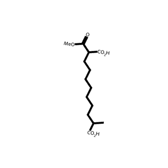 COC(=O)C(CCCCCCCC(C)C(=O)O)C(=O)O